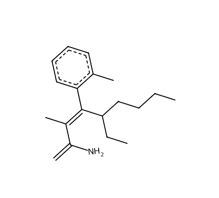 C=C(N)/C(C)=C(/c1ccccc1C)C(CC)CCCC